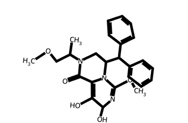 COCC(C)N1CC(C(c2ccccc2)c2ccccc2)N2C(OC)=NC(O)C(O)=C2C1=O